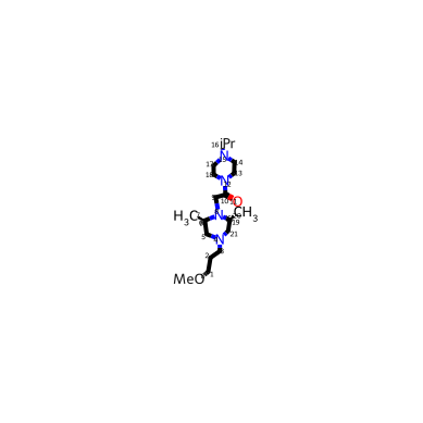 COCCCN1C[C@@H](C)N(CC(=O)N2CCN(C(C)C)CC2)[C@@H](C)C1